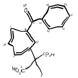 CC(C(=O)O)(C(=O)O)c1cccc(C(=O)c2ccccc2)c1